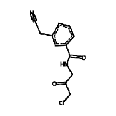 N#CCc1cccc(C(=O)NCC(=O)CCl)c1